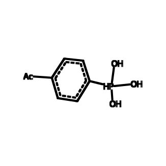 CC(=O)c1ccc([PH](O)(O)O)cc1